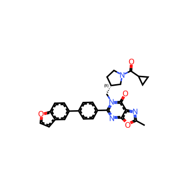 Cc1nc2c(=O)n(C[C@@H]3CCN(C(=O)C4CC4)C3)c(-c3ccc(-c4ccc5occc5c4)cc3)nc2o1